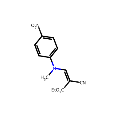 CCOC(=O)/C(C#N)=C\N(C)c1ccc([N+](=O)[O-])cc1